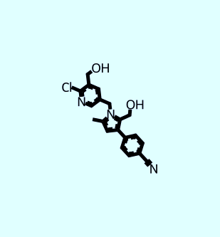 Cc1cc(-c2ccc(C#N)cc2)c(CO)n1Cc1cnc(Cl)c(CO)c1